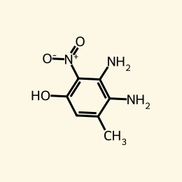 Cc1cc(O)c([N+](=O)[O-])c(N)c1N